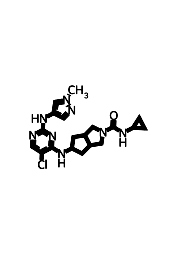 Cn1cc(Nc2ncc(Cl)c(NC3CC4CN(C(=O)NC5CC5)CC4C3)n2)cn1